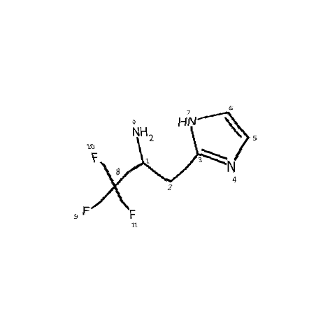 NC(Cc1ncc[nH]1)C(F)(F)F